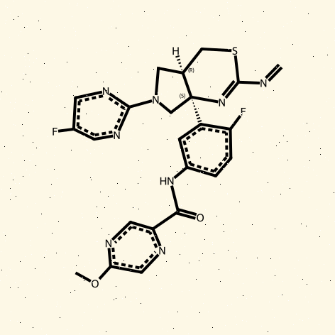 C=NC1=N[C@@]2(c3cc(NC(=O)c4cnc(OC)cn4)ccc3F)CN(c3ncc(F)cn3)C[C@H]2CS1